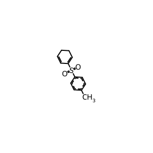 Cc1ccc(S(=O)(=O)C2=CCCC=C2)cc1